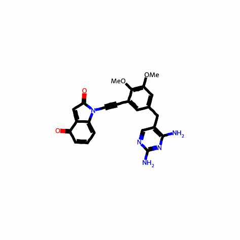 COc1cc(Cc2cnc(N)nc2N)cc(C#CN2C(=O)C=C3C(=O)C=CC=C32)c1OC